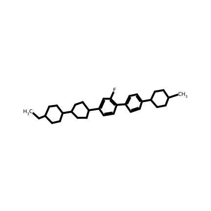 CCC1CCC(C2CCC(c3ccc(-c4ccc(C5CCC(C)CC5)cc4)c(F)c3)CC2)CC1